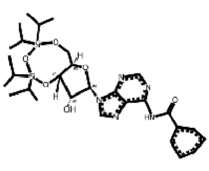 CC(C)[Si]1(C(C)C)OC[C@H]2O[C@@H](n3cnc4c(NC(=O)c5ccccc5)ncnc43)[C@H](O)[C@@H]2O[Si](C(C)C)(C(C)C)O1